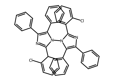 ClC1=CC=CCC1c1nc(-c2ccccc2)c(-c2ccccc2)n1-n1c(-c2ccccc2Cl)nc(-c2ccccc2)c1-c1ccccc1